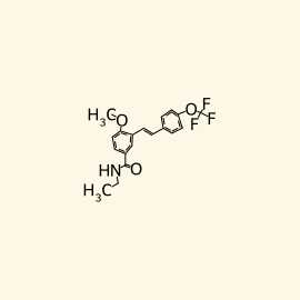 CCNC(=O)c1ccc(OC)c(C=Cc2ccc(OC(F)(F)F)cc2)c1